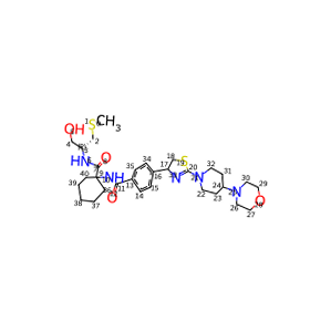 CSC[C@@H](CO)NC(=O)C1(NC(=O)c2ccc(C3CSC(N4CCC(N5CCOCC5)CC4)=N3)cc2)CCCCC1